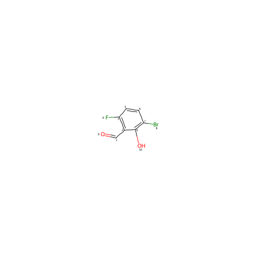 O=Cc1c(F)ccc(Br)c1O